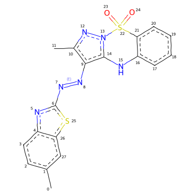 Cc1ccc2nc(/N=N/c3c(C)nn4c3Nc3ccccc3S4(=O)=O)sc2c1